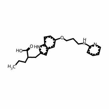 CCCC(Cc1cc2cc(OCCCNc3ccccn3)ccc2[nH]1)C(=O)O